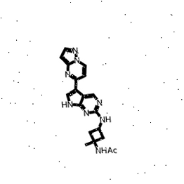 CC(=O)NC1(C)CC(Nc2ncc3c(-c4ccn5nccc5n4)c[nH]c3n2)C1